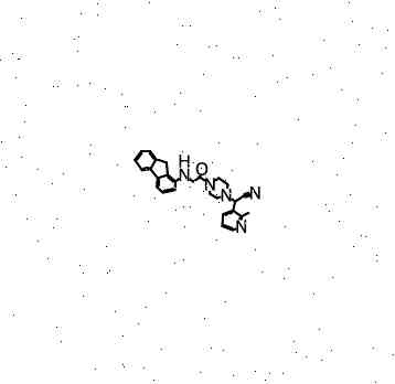 Cc1ncccc1C(C#N)N1CCN(C(=O)CNc2cccc3c2Cc2ccccc2-3)CC1